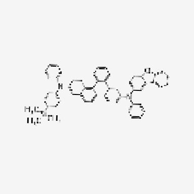 C[Si](C)(C)c1ccc(N(c2ccccc2)c2ccc3c(ccc4c5ccc(N(c6ccccc6)c6ccc7oc8ccccc8c7c6)cc5c5ccccc5c34)c2)cc1